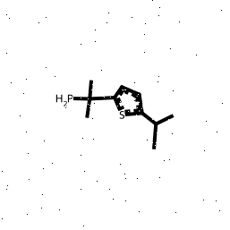 CC(C)c1ccc(C(C)(C)P)s1